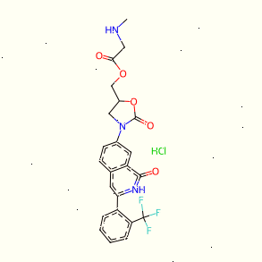 CNCC(=O)OCC1CN(c2ccc3cc(-c4ccccc4C(F)(F)F)[nH]c(=O)c3c2)C(=O)O1.Cl